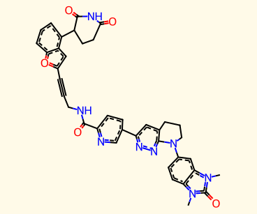 Cn1c(=O)n(C)c2cc(N3CCCc4cc(-c5ccc(C(=O)NCC#Cc6cc7c(C8CCC(=O)NC8=O)cccc7o6)nc5)nnc43)ccc21